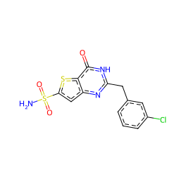 NS(=O)(=O)c1cc2nc(Cc3cccc(Cl)c3)[nH]c(=O)c2s1